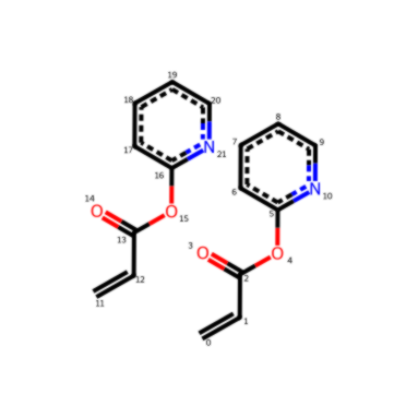 C=CC(=O)Oc1ccccn1.C=CC(=O)Oc1ccccn1